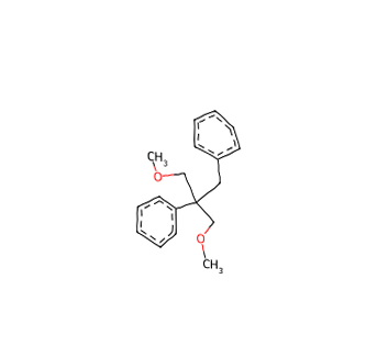 COCC(COC)(Cc1ccccc1)c1ccccc1